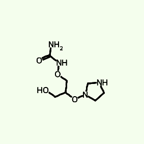 NC(=O)NOCC(CO)ON1CCNC1